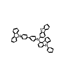 c1ccc(-n2c3ccccc3c3c(N(c4ccc(-c5ccc(-n6c7ccccc7c7ccccc76)cc5)cc4)c4ccc5c(c4)sc4ccccc45)cccc32)cc1